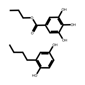 CCCCc1cc(O)ccc1O.CCCOC(=O)c1cc(O)c(O)c(O)c1